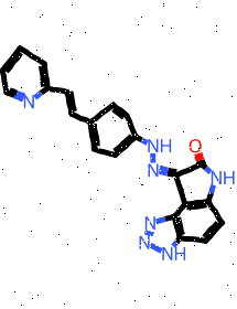 O=C1Nc2ccc3[nH]nnc3c2C1=NNc1ccc(C=Cc2ccccn2)cc1